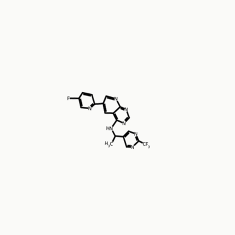 CC(Nc1ncnc2ncc(-c3ccc(F)cn3)cc12)c1cnc(C(F)(F)F)nc1